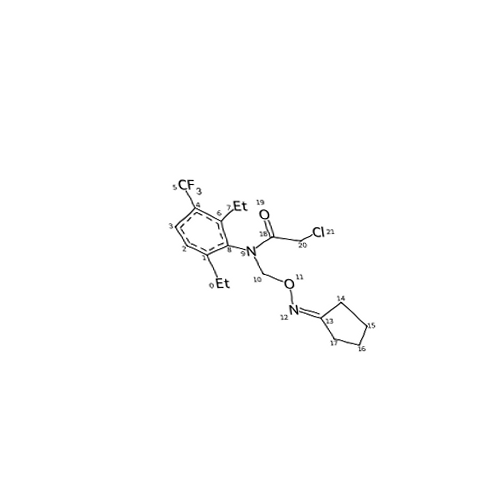 CCc1ccc(C(F)(F)F)c(CC)c1N(CON=C1CCCC1)C(=O)CCl